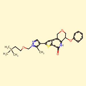 Cc1c(-c2cc3c4c([nH]c(=O)c3s2)C(Oc2ccccc2)COC4)cnn1COCC[Si](C)(C)C